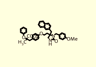 CCOC(=O)C(C)(Cc1ccc(OCCC2(Cc3ccc4ccccc4c3)CNC(=O)N2Cc2ccc(OC)cc2)cc1)Oc1ccccc1